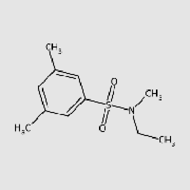 CCN(C)S(=O)(=O)c1cc(C)cc(C)c1